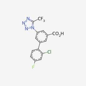 O=C(O)c1cc(-c2ccc(F)cc2Cl)cc(-n2nnnc2C(F)(F)F)c1